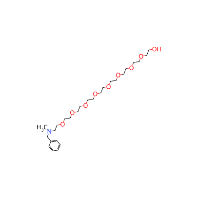 CN(CCOCCOCCOCCOCCOCCOCCOCCOCCO)Cc1ccccc1